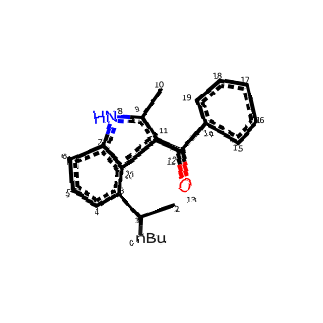 CCCCC(C)c1cccc2[nH]c(C)c(C(=O)c3ccccc3)c12